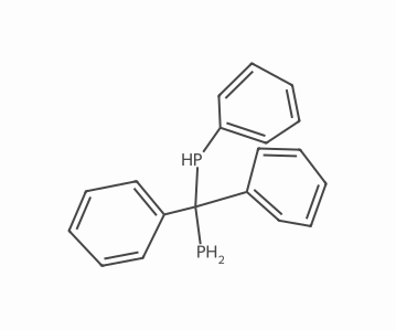 PC(Pc1ccccc1)(c1ccccc1)c1ccccc1